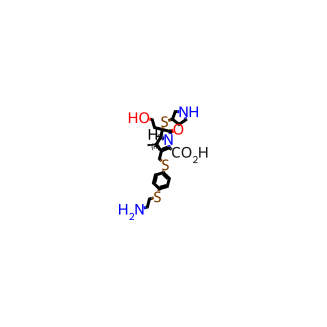 C[C@@H]1C(CSc2ccc(SCCN)cc2)=C(C(=O)O)N2C(=O)C(CCO)(SC3CCNC3)[C@H]12